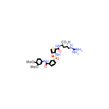 COc1ccc(NC(=O)c2cccc(S(=O)(=O)Nc3ccsc3C(=O)N[C@@H](CCCNC(N)N)C(=O)O)c2)cc1OC